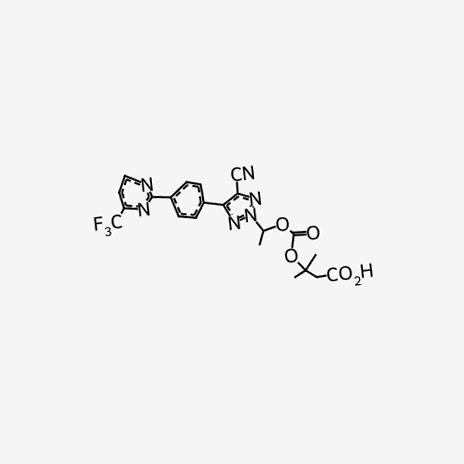 CC(OC(=O)OC(C)(C)CC(=O)O)n1nc(C#N)c(-c2ccc(-c3nccc(C(F)(F)F)n3)cc2)n1